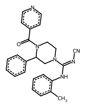 Cc1ccccc1N/C(=N/C#N)N1CCN(C(=O)c2ccncc2)C(c2ccccc2)C1